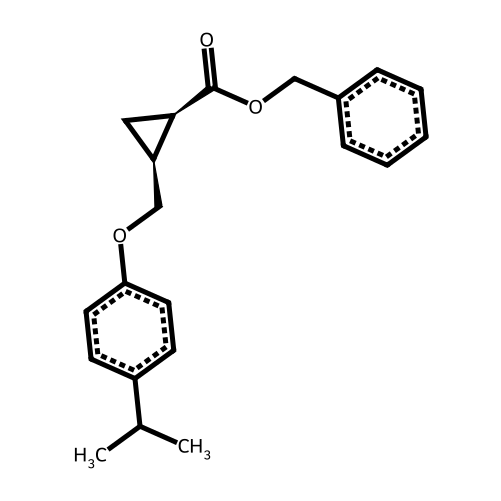 CC(C)c1ccc(OC[C@H]2C[C@H]2C(=O)OCc2ccccc2)cc1